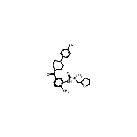 Cc1ccc(C(=O)N2CCC(c3ccc(C#N)cc3)CC2)cc1NC(=O)N(C)CC1CCCO1